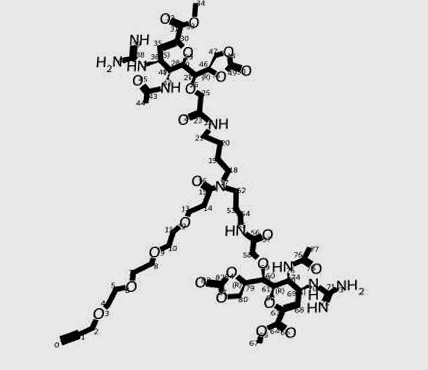 C#CCOCCOCCOCCOCCC(=O)N(CCCCNC(=O)CO[C@@H]([C@@H]1OC(C(=O)OC)=C[C@H](NC(=N)N)[C@H]1NC(C)=O)[C@H]1COC(=O)O1)CCCNC(=O)CO[C@@H]([C@@H]1OC(C(=O)OC)=C[C@H](NC(=N)N)[C@H]1NC(C)=O)[C@H]1COC(=O)O1